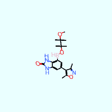 COC(C)(C)C(C)(C)OBc1cc(-c2c(C)noc2C)cc2[nH]c(=O)[nH]c12